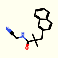 CC(C)(Cc1ccc2ccccc2c1)C(=O)NCC#N